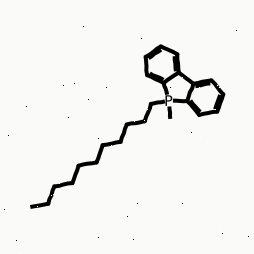 CCCCCCCCCCC[P]1(C)c2ccccc2-c2ccccc21